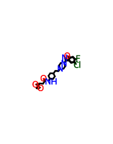 CS(=O)(=O)CCC(=O)NC1CCC(CCN2CCN(c3noc4cc(F)c(Cl)cc34)CC2)CC1